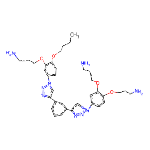 CCCCOc1ccc(-n2cc(-c3cccc(-c4cn(-c5ccc(OCCCN)c(OCCCN)c5)nn4)c3)nn2)cc1OCCCN